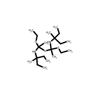 CCOC(C)(NC(C)(CC)CC)OC(C)(NC(C)(CC)CC)OCC